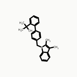 Cc1c(C)n(Cc2ccc(-c3ccccc3C(C)(C)C)cc2)c2ccccc12